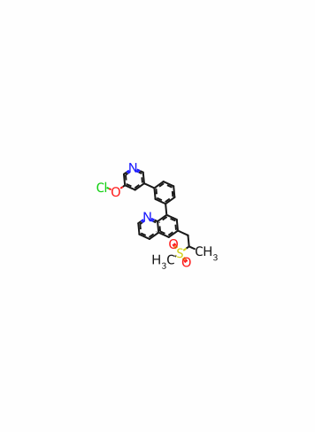 CC(Cc1cc(-c2cccc(-c3cncc(OCl)c3)c2)c2ncccc2c1)S(C)(=O)=O